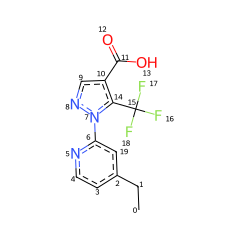 CCc1ccnc(-n2ncc(C(=O)O)c2C(F)(F)F)c1